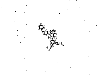 COc1ccc(NC(=O)c2cccnc2NC2CCN(Cc3ccccc3)CC2)cc1OC